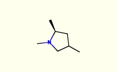 CC1C[C@H](C)N(C)C1